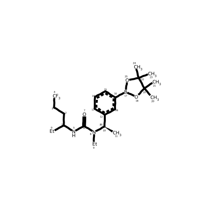 CCC(CCC(F)(F)F)NC(=O)N(CC)[C@H](C)c1cccc(B2OC(C)(C)C(C)(C)O2)c1